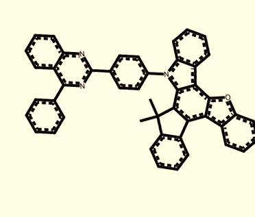 CC1(C)c2ccccc2-c2c1c1c(c3ccccc3n1-c1ccc(-c3nc(-c4ccccc4)c4ccccc4n3)cc1)c1oc3ccccc3c21